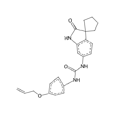 C=CCOc1ccc(NC(=O)Nc2ccc3c(c2)NC(=O)C32CCCC2)cc1